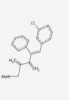 C=C(CNC)C(=C)/C(=C/c1cccc(Cl)c1)c1ccccc1